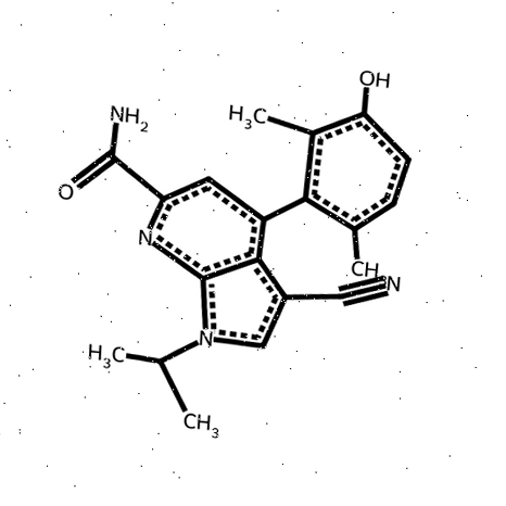 Cc1ccc(O)c(C)c1-c1cc(C(N)=O)nc2c1c(C#N)cn2C(C)C